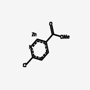 COC(=O)c1ccc(Cl)nc1.[Zn]